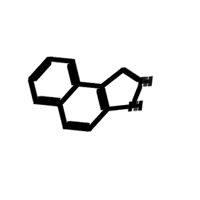 c1ccc2c3c(ccc2c1)PPC3